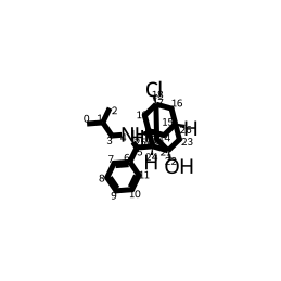 CC(C)CNC(c1ccccc1)[C@H]1[C@H]2C[C@@H]3C[C@](Cl)(C2)C[C@@]1(O)C3